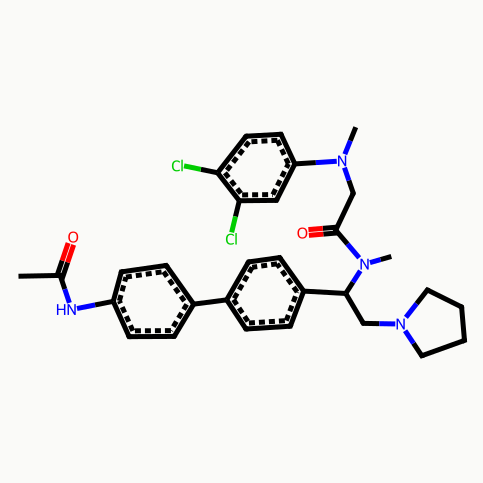 CC(=O)Nc1ccc(-c2ccc(C(CN3CCCC3)N(C)C(=O)CN(C)c3ccc(Cl)c(Cl)c3)cc2)cc1